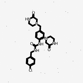 O=C1CN(Cc2ccc(NC(=O)NCc3ccc(Cl)cc3)cc2)CCN1.O=C1CNCCN1